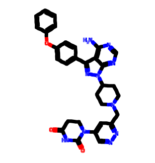 Nc1ncnc2c1c(-c1ccc(Oc3ccccc3)cc1)nn2C1CCN(Cc2cc(N3CCC(=O)NC3=O)cnn2)CC1